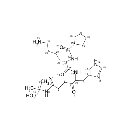 CC(C)(NC(=S)CCC(=O)C(Cc1c[nH]cn1)NC(=O)[C@H](CCCCN)NC(=O)C1CCCC1)C(=O)O